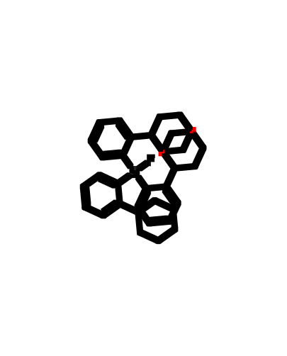 F[Si](c1ccccc1C1CCCCC1)(c1ccccc1C1CCCCC1)c1ccccc1C1CCCCC1